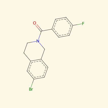 O=C(c1ccc(F)cc1)N1CCc2cc(Br)ccc2C1